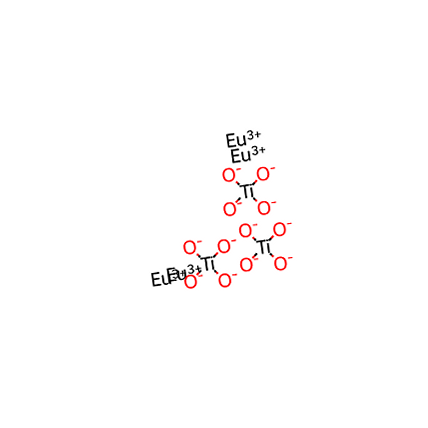 [Eu+3].[Eu+3].[Eu+3].[Eu+3].[O-][Ti]([O-])([O-])[O-].[O-][Ti]([O-])([O-])[O-].[O-][Ti]([O-])([O-])[O-]